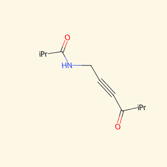 CC(C)C(=O)C#CCNC(=O)C(C)C